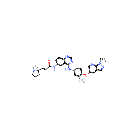 Cc1cc(Nc2ncnc3ccc(NC(=O)/C=C/C4CCCN4C)cc23)ccc1Oc1cnc2c(cnn2C)c1